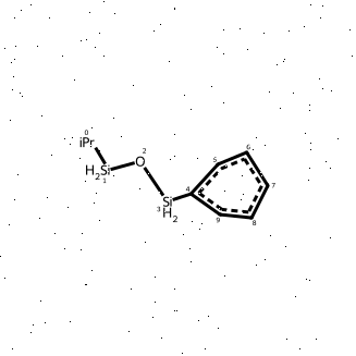 CC(C)[SiH2]O[SiH2]c1ccccc1